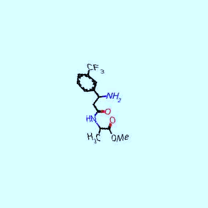 COC(=O)C(C)NC(=O)CC(N)c1cccc(C(F)(F)F)c1